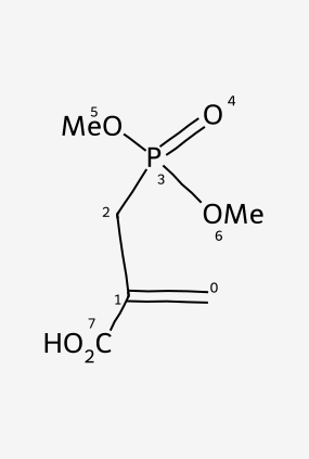 C=C(CP(=O)(OC)OC)C(=O)O